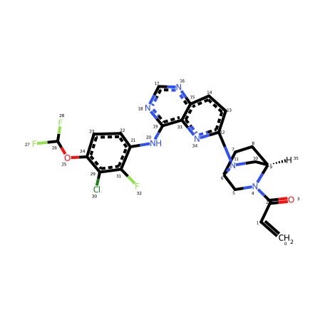 C=CC(=O)N1CC2CC[C@@H]1CN2c1ccc2ncnc(Nc3ccc(OC(F)F)c(Cl)c3F)c2n1